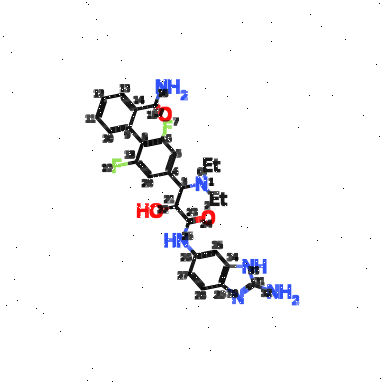 CCN(CC)C(c1cc(F)c(-c2ccccc2C(N)=O)c(F)c1)C(O)C(=O)Nc1ccc2nc(N)[nH]c2c1